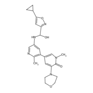 Cc1ncc(NC(O)c2cc(C3CC3)on2)cc1-c1cc(N2CCOCC2)c(=O)n(C)c1